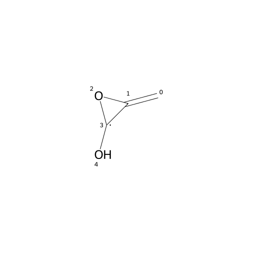 C=C1O[C]1O